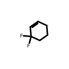 FC1(F)C=C[CH]CC1